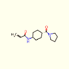 C=CC(=O)N[C@H]1CC[C@H](C(=O)N2CCCC2)CC1